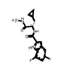 CNC(=O)[C@H](CC1CC1)NC(=O)c1cc2cc(F)cc(F)c2[nH]1